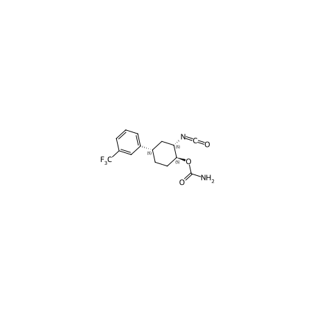 NC(=O)O[C@H]1CC[C@H](c2cccc(C(F)(F)F)c2)C[C@@H]1N=C=O